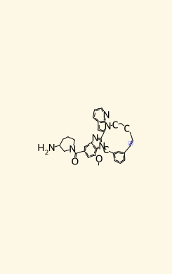 COc1cc(C(=O)N2CCCC(N)C2)cc2nc3n(c12)Cc1cccc(c1)/C=C\CCCCn1c-3cc2cccnc21